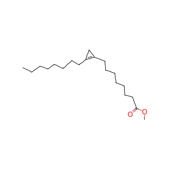 CCCCCCCCC1=C(CCCCCCCC(=O)OC)C1